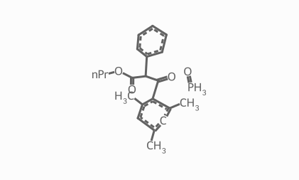 CCCOC(=O)C(C(=O)c1c(C)cc(C)cc1C)c1ccccc1.O=[PH3]